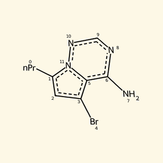 CCCc1cc(Br)c2c(N)ncnn12